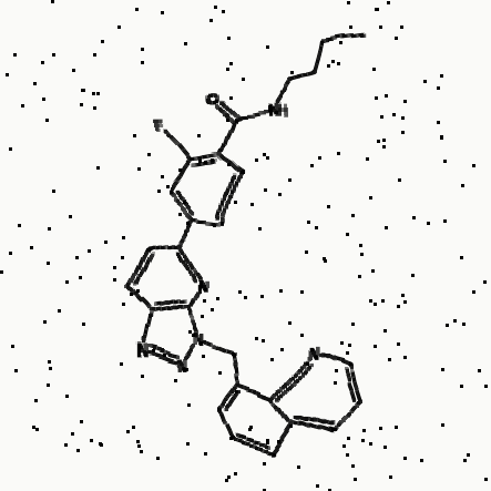 CCCCNC(=O)c1ccc(-c2ccc3nnn(Cc4cccc5cccnc45)c3n2)cc1F